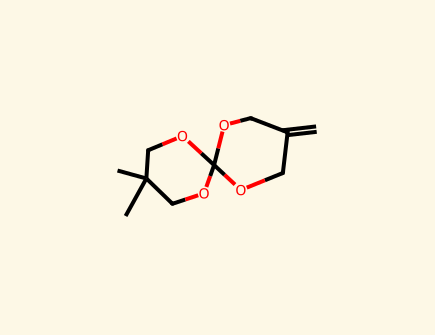 C=C1COC2(OC1)OCC(C)(C)CO2